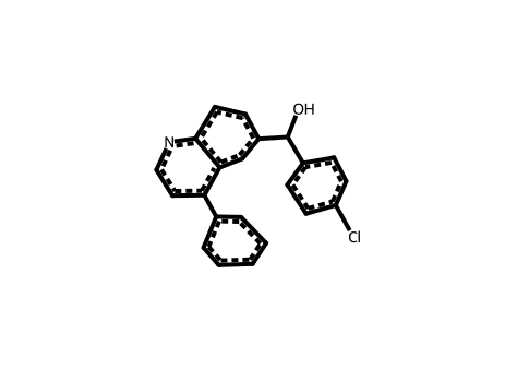 OC(c1ccc(Cl)cc1)c1ccc2nccc(-c3ccccc3)c2c1